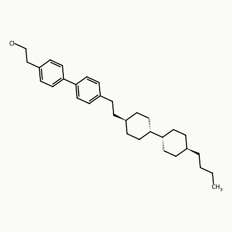 CCCC[C@H]1CC[C@H]([C@H]2CC[C@H](CCc3ccc(-c4ccc(CCCl)cc4)cc3)CC2)CC1